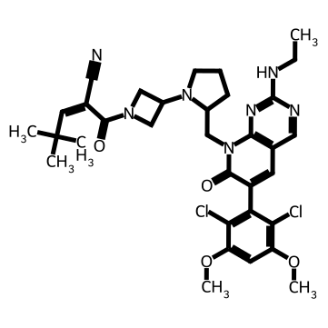 CCNc1ncc2cc(-c3c(Cl)c(OC)cc(OC)c3Cl)c(=O)n(CC3CCCN3C3CN(C(=O)/C(C#N)=C\C(C)(C)C)C3)c2n1